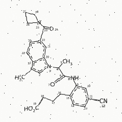 Cc1cn(C(C)C(=O)Nc2cc(C#N)ccc2CCCC(=O)O)c2cc(C(=O)N3CCC3)ccc12